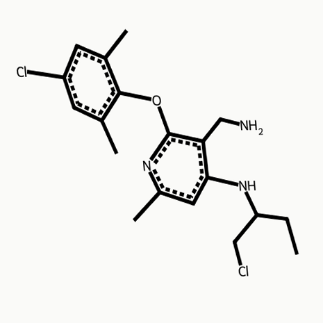 CCC(CCl)Nc1cc(C)nc(Oc2c(C)cc(Cl)cc2C)c1CN